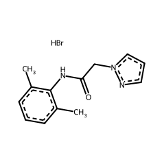 Br.Cc1cccc(C)c1NC(=O)Cn1cccn1